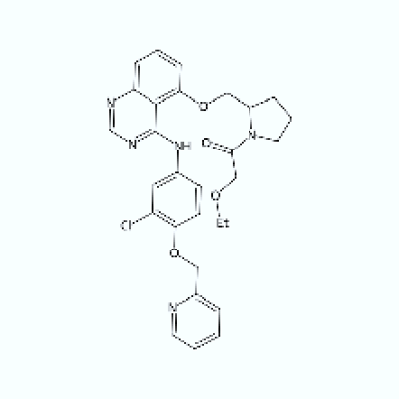 CCOCC(=O)N1CCCC1COc1cccc2ncnc(Nc3ccc(OCc4ccccn4)c(Cl)c3)c12